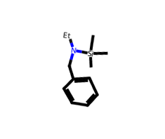 CCN(Cc1ccccc1)[Si](C)(C)C